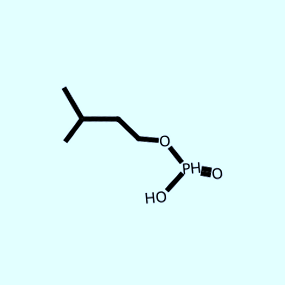 CC(C)CCO[PH](=O)O